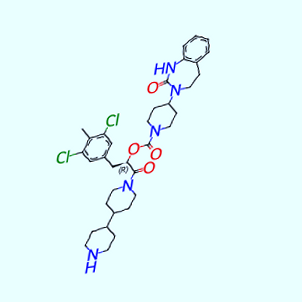 Cc1c(Cl)cc(C[C@@H](OC(=O)N2CCC(N3CCc4ccccc4NC3=O)CC2)C(=O)N2CCC(C3CCNCC3)CC2)cc1Cl